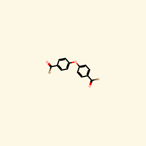 O=C(Br)c1ccc(Oc2ccc(C(=O)Br)cc2)cc1